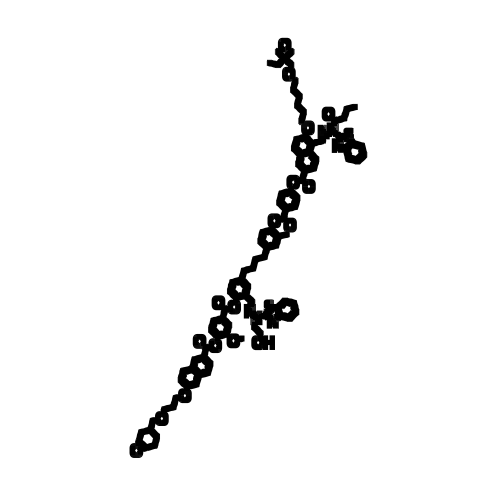 CCCC(=O)N(/N=C/c1c(OCCCCCCOCC2(CC)COC2)ccc2cc(C(=O)Oc3ccc(C(=O)Oc4ccc(CCCCc5ccc(OC(=O)c6ccc(OC(=O)c7ccc8cc(OCCCOCC9CCC%10OC%10C9)ccc8c7)c(OC)c6)c(/C=N/N(CCO)c6nc7ccccc7s6)c5)cc4C)cc3)ccc12)c1nc2ccccc2s1